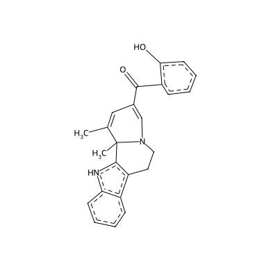 CC1=CC(C(=O)c2ccccc2O)=CN2CCc3c([nH]c4ccccc34)C12C